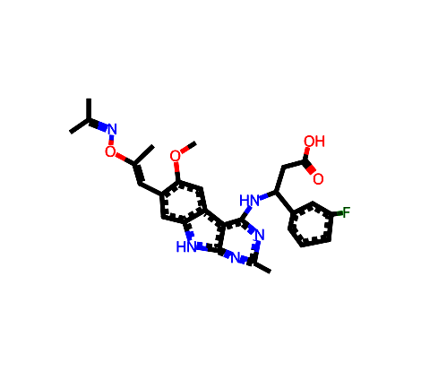 COc1cc2c(cc1/C=C(\C)ON=C(C)C)[nH]c1nc(C)nc(NC(CC(=O)O)c3cccc(F)c3)c12